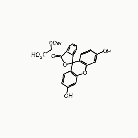 CCCCCCCCCCCC(=O)O.O=C1OC2(c3ccc(O)cc3Oc3cc(O)ccc32)c2ccccc21